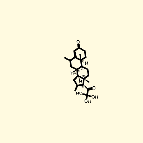 CC1C[C@H]2[C@@H]3CC(C)[C@H](C(=O)C(O)(O)O)[C@@]3(C)CC[C@@H]2[C@@]2(C)CCC(=O)C=C12